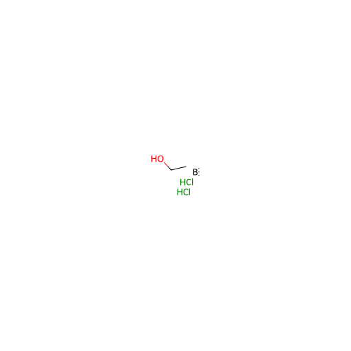 CCO.Cl.Cl.[B]